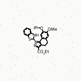 CCOC(=O)c1nn(C2Nc3ccccc3S2)c2c1CCc1cc(OC)c(OC(C)C)cc1-2